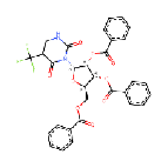 O=C(OC[C@H]1O[C@H](N2C(=O)NCC(C(F)(F)F)C2=O)[C@H](OC(=O)c2ccccc2)[C@@H]1OC(=O)c1ccccc1)c1ccccc1